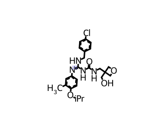 Cc1cc(/N=C(/NCc2ccc(Cl)cc2)NC(=O)NCC2(CO)COC2)ccc1OC(C)C